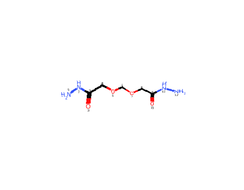 NNC(=O)COCOCC(=O)NN